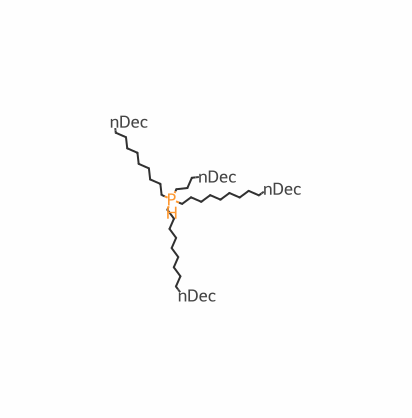 CCCCCCCCCCCCCCCCCCC[PH](CCCCCCCCCCCCC)(CCCCCCCCCCCCCCCCCCC)CCCCCCCCCCCCCCCCCCC